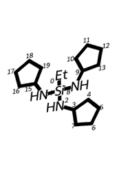 CC[Si](NC1CCCC1)(NC1CCCC1)NC1CCCC1